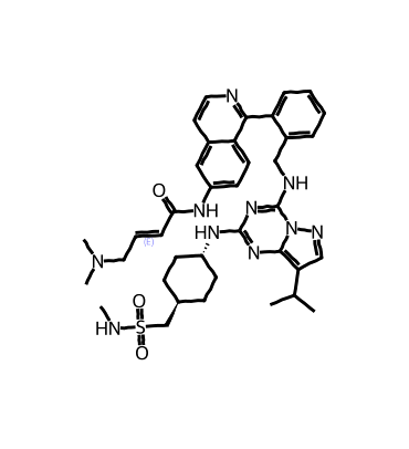 CNS(=O)(=O)C[C@H]1CC[C@H](Nc2nc(NCc3ccccc3-c3nccc4cc(NC(=O)/C=C/CN(C)C)ccc34)n3ncc(C(C)C)c3n2)CC1